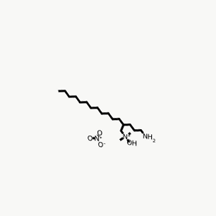 CCCCCCCCCCCCC(CCCN)C[N+](C)(C)O.O=[N+]([O-])[O-]